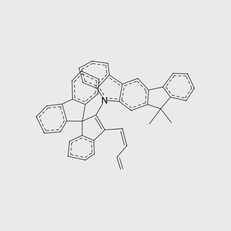 C=C/C=C\C1=C(n2c3ccccc3c3cc4c(cc32)C(C)(C)c2ccccc2-4)C2(c3ccccc31)c1ccccc1-c1ccccc12